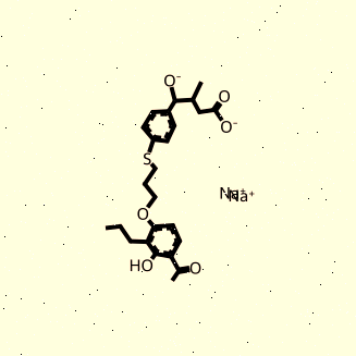 CCCc1c(OCCCSc2ccc(C([O-])C(C)CC(=O)[O-])cc2)ccc(C(C)=O)c1O.[Na+].[Na+]